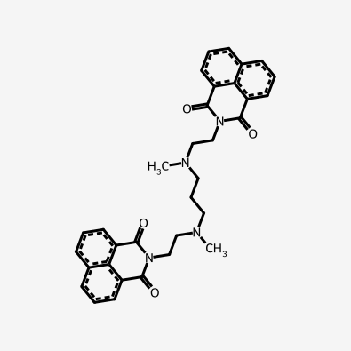 CN(CCCN(C)CCN1C(=O)c2cccc3cccc(c23)C1=O)CCN1C(=O)c2cccc3cccc(c23)C1=O